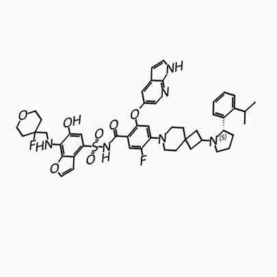 CC(C)c1ccccc1[C@@H]1CCCN1C1CC2(CCN(c3cc(Oc4cnc5[nH]ccc5c4)c(C(=O)NS(=O)(=O)c4cc(O)c(NCC5(F)CCOCC5)c5occc45)cc3F)CC2)C1